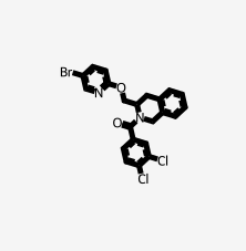 O=C(c1ccc(Cl)c(Cl)c1)N1Cc2ccccc2CC1COc1ccc(Br)cn1